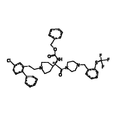 O=C(N[C@@H](C(=O)N1CCN(Cc2ccccc2SC(F)(F)F)CC1)C1CCN(CCc2cc(Cl)ccc2-c2ccccc2)CC1)OCc1ccccc1